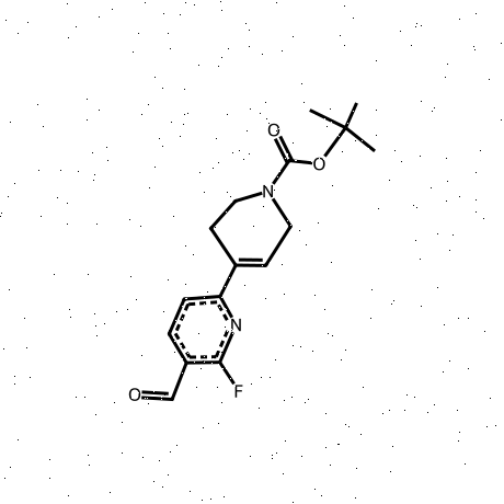 CC(C)(C)OC(=O)N1CC=C(c2ccc(C=O)c(F)n2)CC1